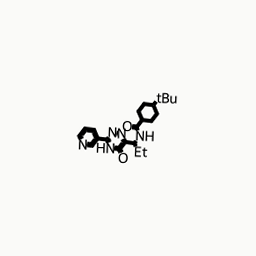 CCC(NC(=O)C1CCC(C(C)(C)C)CC1)c1nnc(-c2cccnc2)[nH]c1=O